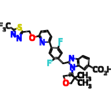 CC1(C)COC[C@H]1n1c(Cc2cc(F)c(-c3cccc(OCc4nnc(C(F)(F)F)s4)n3)cc2F)nc2ccc(C(=O)O)cc21